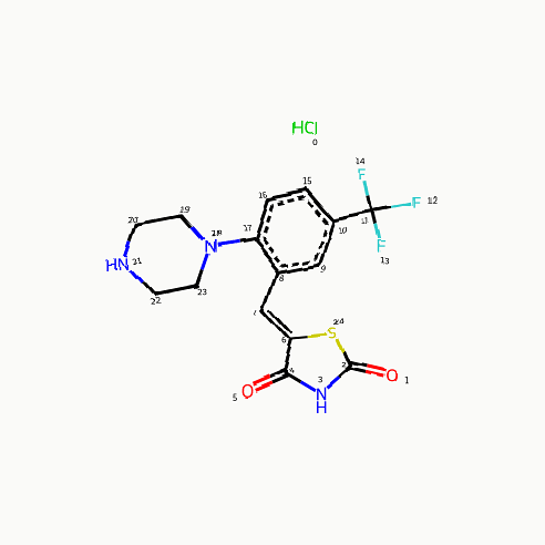 Cl.O=C1NC(=O)C(=Cc2cc(C(F)(F)F)ccc2N2CCNCC2)S1